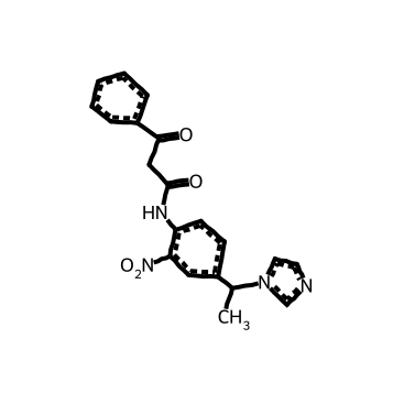 CC(c1ccc(NC(=O)CC(=O)c2ccccc2)c([N+](=O)[O-])c1)n1ccnc1